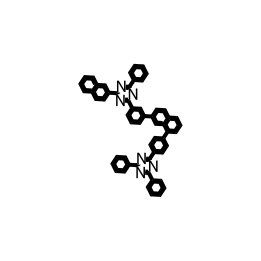 c1ccc(-c2nc(-c3ccccc3)nc(-c3ccc(-c4cccc5ccc(-c6cccc(-c7nc(-c8ccccc8)nc(-c8ccc9ccccc9c8)n7)c6)cc45)cc3)n2)cc1